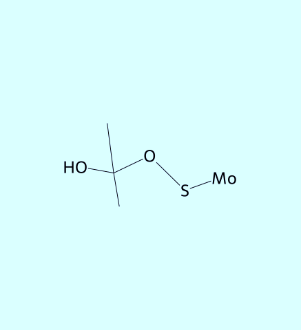 CC(C)(O)O[S][Mo]